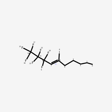 CCCCC/C(I)=C/C(F)(F)C(F)(F)C(F)(F)F